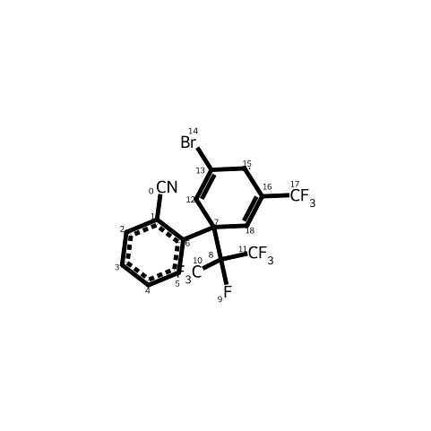 N#Cc1ccccc1C1(C(F)(C(F)(F)F)C(F)(F)F)C=C(Br)[CH]C(C(F)(F)F)=C1